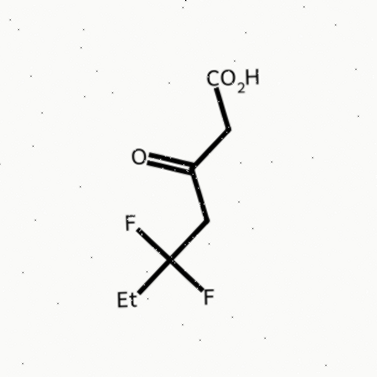 CCC(F)(F)CC(=O)CC(=O)O